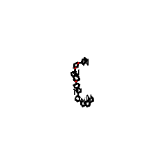 c1cncc(-c2cccc(-c3ccc4cc(-c5ccc6nc(-c7cccc(-c8ccc9ccc%10cccnc%10c9n8)c7)ccc6c5)ccc4n3)c2)c1